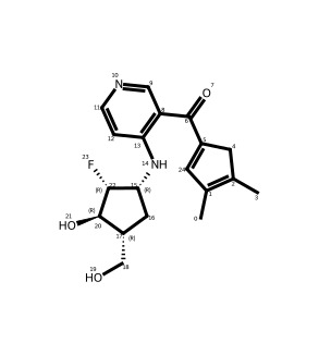 CC1=C(C)CC(C(=O)c2cnccc2N[C@@H]2C[C@H](CO)[C@@H](O)[C@@H]2F)=C1